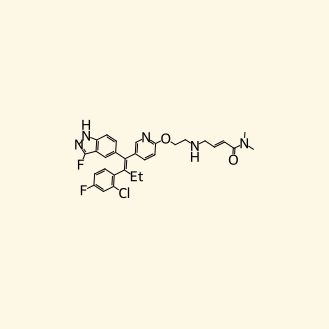 CCC(=C(c1ccc(OCCNCC=CC(=O)N(C)C)nc1)c1ccc2[nH]nc(F)c2c1)c1ccc(F)cc1Cl